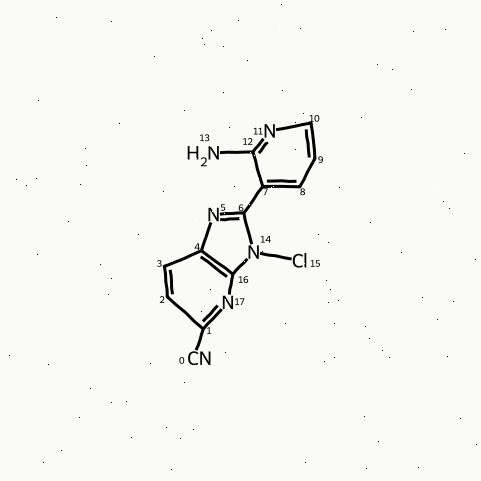 N#Cc1ccc2nc(-c3cccnc3N)n(Cl)c2n1